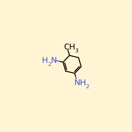 CC1CC=C(N)C=C1N